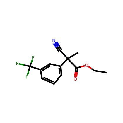 CCOC(=O)C(C)(C#N)c1cccc(C(F)(F)F)c1